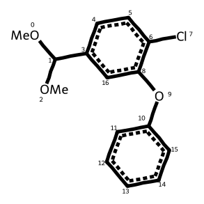 COC(OC)c1ccc(Cl)c(Oc2ccccc2)c1